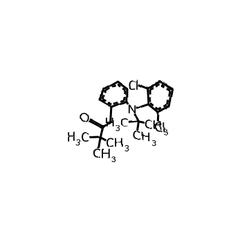 CC(C)(C)C(=O)Cc1ccccc1N(c1c(Cl)cccc1Cl)C(C)(C)C